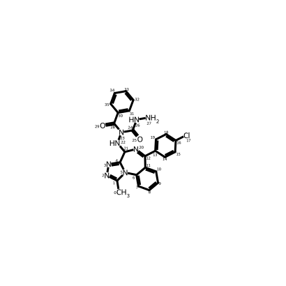 Cc1nnc2n1-c1ccccc1C(c1ccc(Cl)cc1)=NC2NN(C(=O)NN)C(=O)c1ccccc1